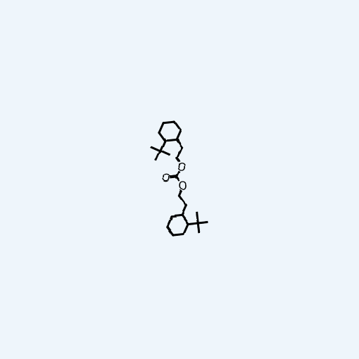 CC(C)(C)C1CCCCC1CCOC(=O)OCCC1CCCCC1C(C)(C)C